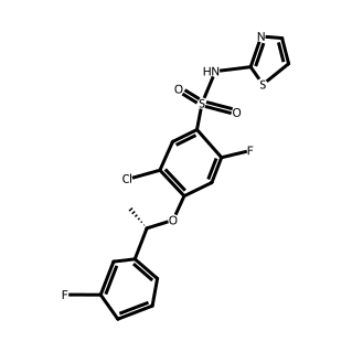 C[C@H](Oc1cc(F)c(S(=O)(=O)Nc2nccs2)cc1Cl)c1cccc(F)c1